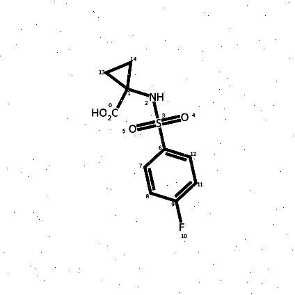 O=C(O)C1(NS(=O)(=O)c2ccc(F)cc2)CC1